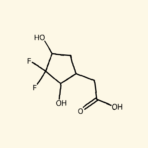 O=C(O)CC1CC(O)C(F)(F)C1O